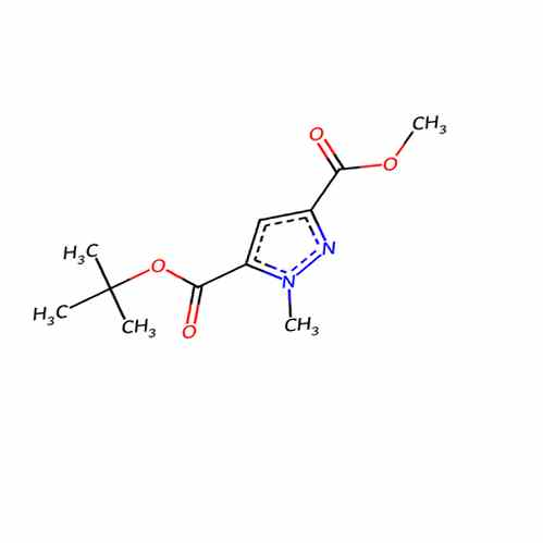 COC(=O)c1cc(C(=O)OC(C)(C)C)n(C)n1